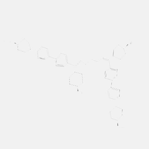 CCCCC[C@H]1CC[C@H](c2ccc(-c3ccc(C(=CCOCC=C(c4ccc(-c5ccc([C@H]6CC[C@H](CCCCC)CC6)cc5)cc4)[C@H]4CC[C@H](CCC)CC4)[C@H]4CC[C@H](CCC)CC4)cc3)cc2)CC1